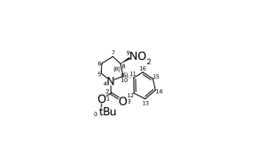 CC(C)(C)OC(=O)N1CCC[C@@H]([N+](=O)[O-])[C@@H]1c1ccccc1